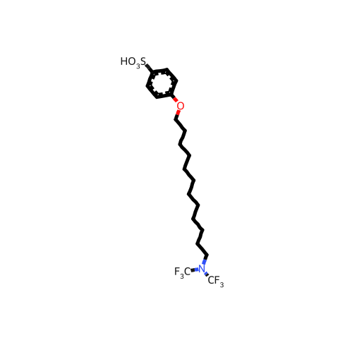 O=S(=O)(O)c1ccc(OCCCCCCCCCCCCN(C(F)(F)F)C(F)(F)F)cc1